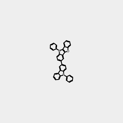 c1ccc(-n2c3ccccc3c3cc(-c4ccc5c(c4)c4oc6ccccc6c4n5-c4ccccc4)ccc32)cc1